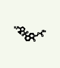 CC(C)(C)C(=O)OCn1ccc2c(S(=O)(=O)N3CCC(N)C34CC4)cccc2c1=O